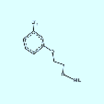 NOCCOc1cccc(C(F)(F)F)c1